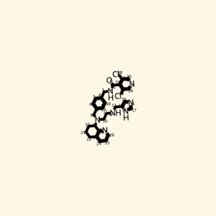 O=C(NCc1ccc(CN(CCNCc2cnc[nH]2)C2CCCc3cccnc32)cc1)c1c(Cl)cncc1Cl